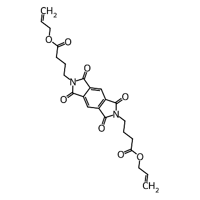 C=CCOC(=O)CCCn1c(=O)c2cc3c(=O)n(CCCC(=O)OCC=C)c(=O)c3cc2c1=O